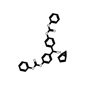 CC(c1ccc(OC(=O)Oc2ccccc2)cc1)c1ccc(OC(=O)Oc2ccccc2)cc1.c1cc2cc-2c1